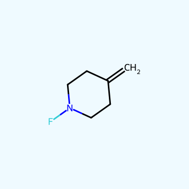 C=C1CCN(F)CC1